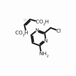 Nc1ccnc(CCl)n1.O=C(O)/C=C\C(=O)O